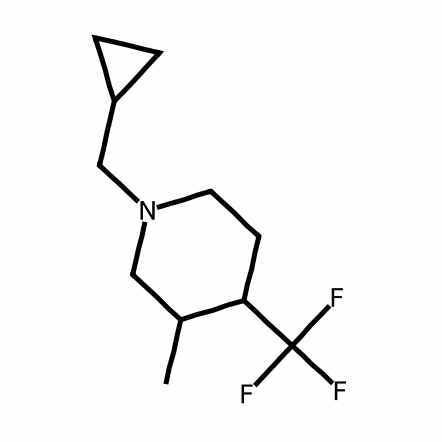 CC1CN(CC2CC2)CCC1C(F)(F)F